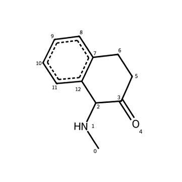 CNC1C(=O)CCc2ccccc21